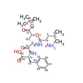 CC(C)C[C@H](N)C(=O)N[C@@H](CCC(=O)OC(C)(C)C)C(=O)N[C@@H](Cc1ccccc1)C(=O)O